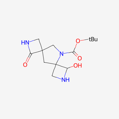 CC(C)(C)OC(=O)N1CC2(CNC2=O)CC12CNC2O